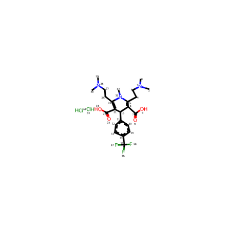 CN(C)CCC1=C(C(=O)O)C(c2ccc(C(F)(F)F)cc2)C(C(=O)O)=C(CCN(C)C)N1C.Cl.Cl